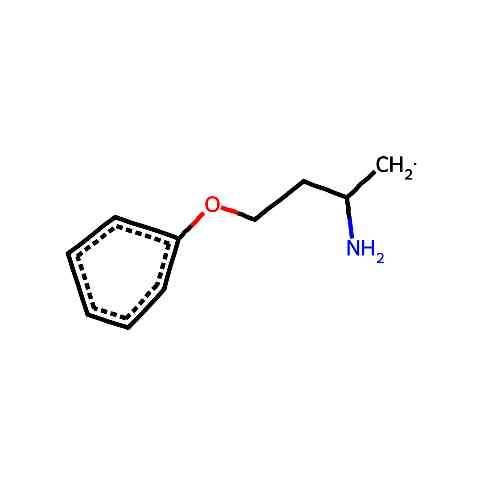 [CH2]C(N)CCOc1ccccc1